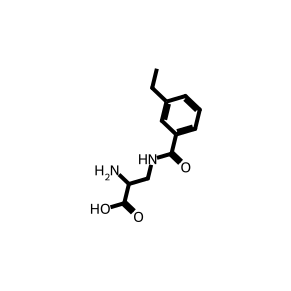 CCc1cccc(C(=O)NCC(N)C(=O)O)c1